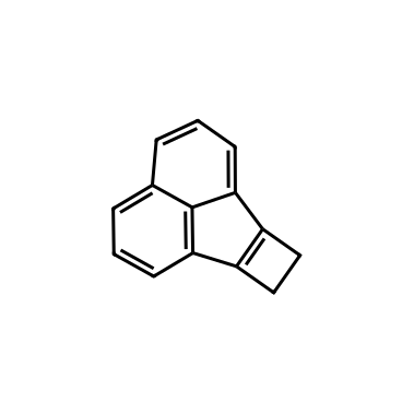 c1cc2c3c(cccc3c1)C1=C2CC1